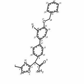 Cc1noc([C](C(N)=O)c2ccc(-c3ccc(OCc4ccccc4)c(F)c3)cc2)n1